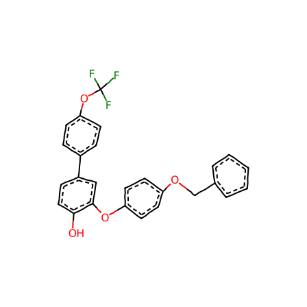 Oc1ccc(-c2ccc(OC(F)(F)F)cc2)cc1Oc1ccc(OCc2ccccc2)cc1